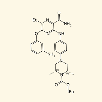 CCc1nc(C(N)=O)c(Nc2ccc(N3C[C@@H](C)N(C(=O)OC(C)(C)C)[C@@H](C)C3)cc2)nc1Oc1cccc(N)c1